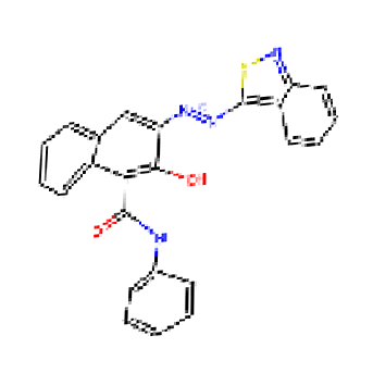 O=C(Nc1ccccc1)c1c(O)c(/N=N/c2snc3ccccc23)cc2ccccc12